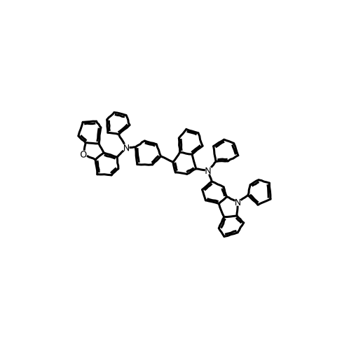 c1ccc(N(c2ccc3c4ccccc4n(-c4ccccc4)c3c2)c2ccc(-c3ccc(N(c4ccccc4)c4cccc5oc6ccccc6c45)cc3)c3ccccc23)cc1